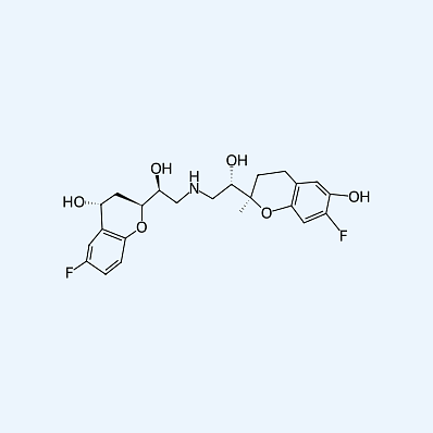 C[C@]1([C@@H](O)CNC[C@H](O)[C@@H]2C[C@@H](O)c3cc(F)ccc3O2)CCc2cc(O)c(F)cc2O1